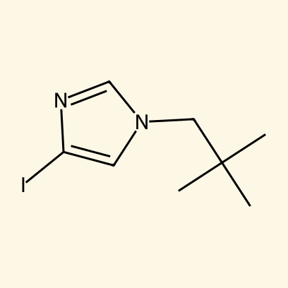 CC(C)(C)Cn1cnc(I)c1